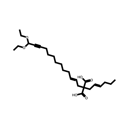 CCC/C=C/CC(C/C=C/CCCCCCCC#CC(OCC)OCC)(C(=O)O)C(=O)O